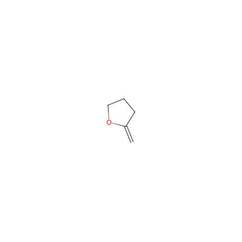 C=C1CCCO1